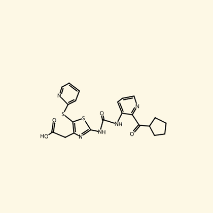 O=C(O)Cc1nc(NC(=O)Nc2cccnc2C(=O)C2CCCC2)sc1Sc1ccccn1